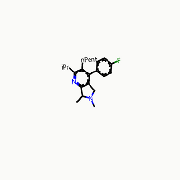 CCCCCc1c(C(C)C)nc2c(c1-c1ccc(F)cc1)CN(C)C2C